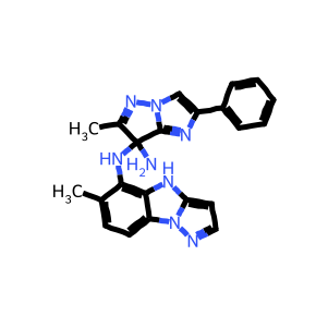 CC1=Nn2cc(-c3ccccc3)nc2C1(N)Nc1c(C)ccc2c1[nH]c1ccnn12